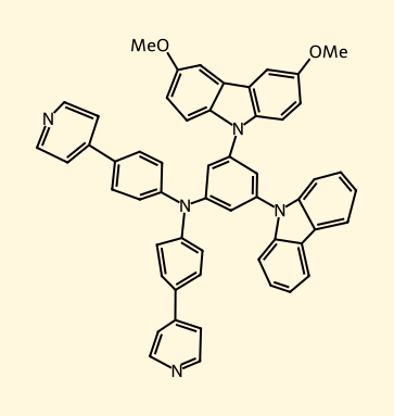 COc1ccc2c(c1)c1cc(OC)ccc1n2-c1cc(N(c2ccc(-c3ccncc3)cc2)c2ccc(-c3ccncc3)cc2)cc(-n2c3ccccc3c3ccccc32)c1